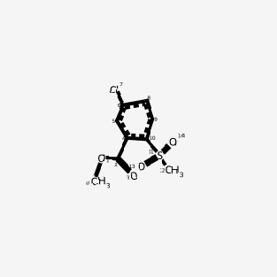 COC(=O)c1cc(Cl)ccc1S(C)(=O)=O